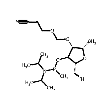 [2H]C[C@H]1O[C@@H](B)[C@@H](OCOCCC#N)C1OP(C)N(C(C)C)C(C)C